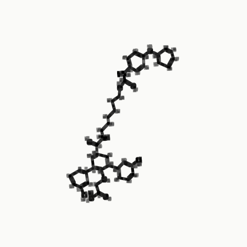 O=C(O)COc1c(-c2cccc(Cl)c2)cc(C(=O)NCCCCCCOC(=O)Nc2ccc(Oc3ccccc3)cc2)cc1-c1cccc(Cl)c1